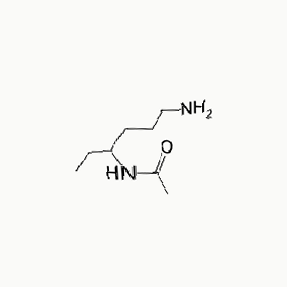 CCC(CCCN)NC(C)=O